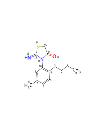 CCCCc1ccc(C)cc1N1C(=N)SCC1=O